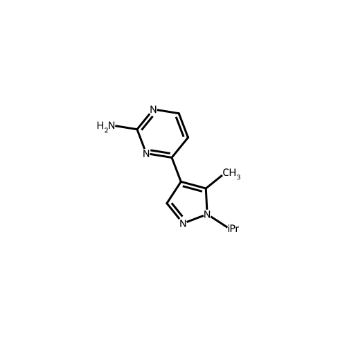 Cc1c(-c2ccnc(N)n2)cnn1C(C)C